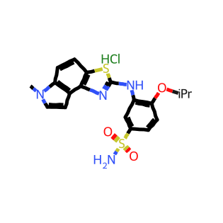 CC(C)Oc1ccc(S(N)(=O)=O)cc1Nc1nc2c(ccc3c2ccn3C)s1.Cl